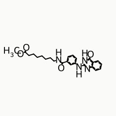 COC(=O)CCCCCCCNC(=O)c1cccc(Nc2nc3ccccc3c(=O)[nH]2)c1